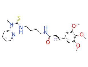 COc1cc(/C=C/C(=O)NCCCCNC(=S)N(C)c2ccccn2)cc(OC)c1OC